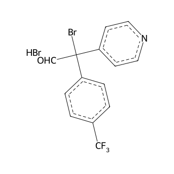 Br.O=CC(Br)(c1ccncc1)c1ccc(C(F)(F)F)cc1